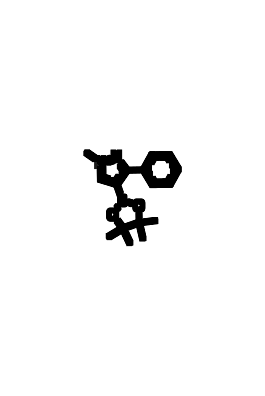 Cn1cc(B2OC(C)(C)C(C)(C)O2)c(-c2ccccc2)n1